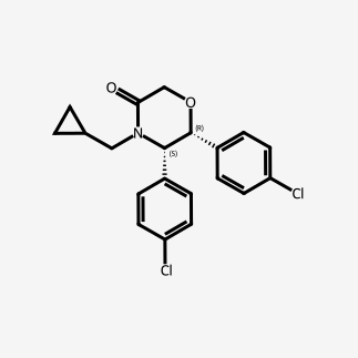 O=C1CO[C@H](c2ccc(Cl)cc2)[C@H](c2ccc(Cl)cc2)N1CC1CC1